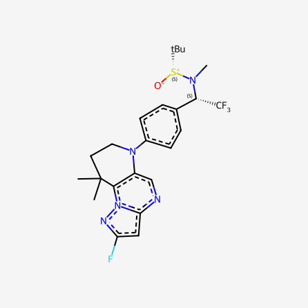 CN([C@@H](c1ccc(N2CCC(C)(C)c3c2cnc2cc(F)nn32)cc1)C(F)(F)F)[S@+]([O-])C(C)(C)C